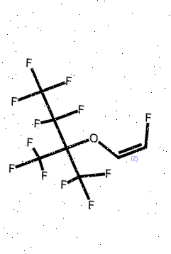 F/C=C\OC(C(F)(F)F)(C(F)(F)F)C(F)(F)C(F)(F)F